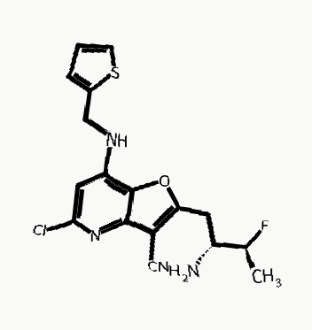 C[C@H](F)[C@H](N)Cc1oc2c(NCc3cccs3)cc(Cl)nc2c1C#N